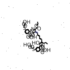 CCOC(=O)C1=NN(c2cc(SOOO)ccc2S(=O)(=O)O)C(=O)/C1=C\C=CC=Cc1c(CC)nn(-c2cc(SOOO)ccc2S(=O)(=O)O)c1O